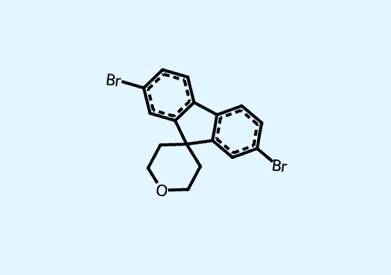 Brc1ccc2c(c1)C1(CCOCC1)c1cc(Br)ccc1-2